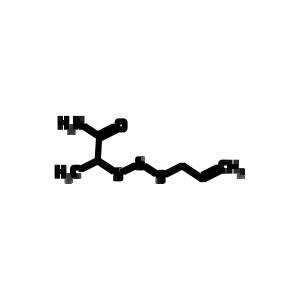 C=CCSSSC(C)C(N)=O